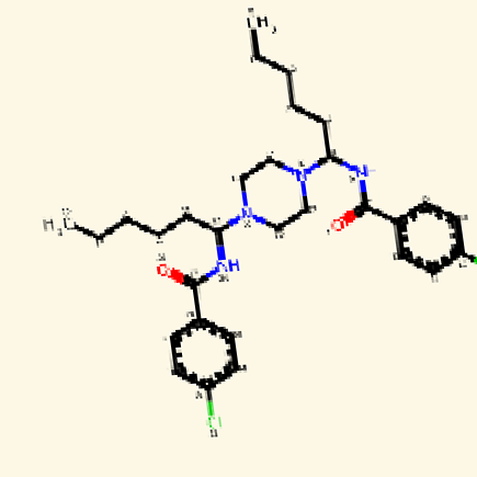 CCCCCC(NC(=O)c1ccc(Cl)cc1)N1CCN(C(CCCCC)NC(=O)c2ccc(Cl)cc2)CC1